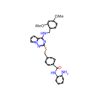 COc1ccc(CNc2nc(SCc3ccc(C(=O)Nc4ccccc4N)cc3)nn3cccc23)c(OC)c1